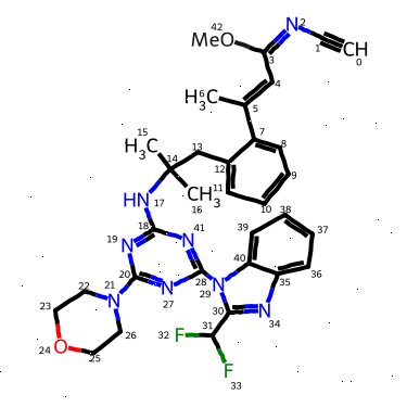 C#C/N=C(\C=C(/C)c1ccccc1CC(C)(C)Nc1nc(N2CCOCC2)nc(-n2c(C(F)F)nc3ccccc32)n1)OC